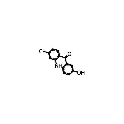 Nc1cc(Cl)ccc1C(=O)c1cccc(O)c1